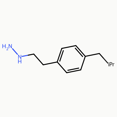 CC(C)Cc1ccc(CCNN)cc1